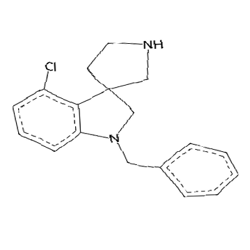 Clc1cccc2c1C1(CCNC1)CN2Cc1ccccc1